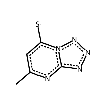 Cc1cc([S])n2nnnc2n1